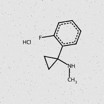 CNC1(c2ccccc2F)CC1.Cl